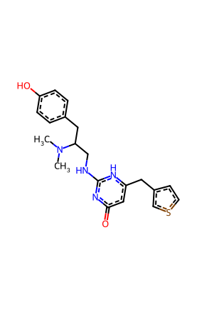 CN(C)C(CNc1nc(=O)cc(Cc2ccsc2)[nH]1)Cc1ccc(O)cc1